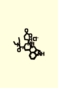 CCN(CC)C(=O)[C@@H]1C=C2c3cccc4[nH]cc(c34)C[C@H]2[N+](C)(CCCC(=O)O)C1.[Cl-]